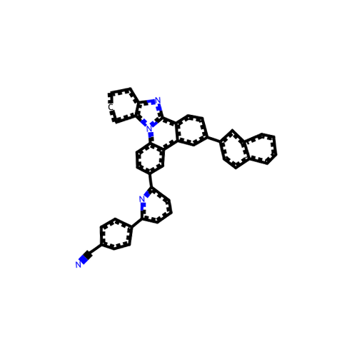 N#Cc1ccc(-c2cccc(-c3ccc4c(c3)c3cc(-c5ccc6ccccc6c5)ccc3c3nc5ccccc5n43)n2)cc1